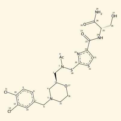 CC(=O)N(C[C@@H]1CN(Cc2ccc(Cl)c(Cl)c2)CCO1)Sc1nc(C(=O)N[C@@H](CO)C(N)=O)cs1